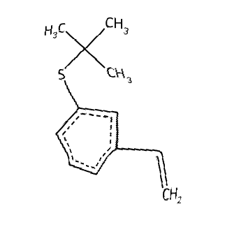 C=Cc1cccc(SC(C)(C)C)c1